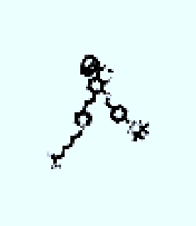 CO/C(=C1\C2CC3CC(C2)C1C3)c1ccc(/C=C/c2cc[n+](CCCCCC(=O)O)cc2)c(OCc2ccc(B3OC(C)(C)C(C)(C)O3)cc2)c1Cl